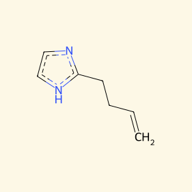 C=CCCc1ncc[nH]1